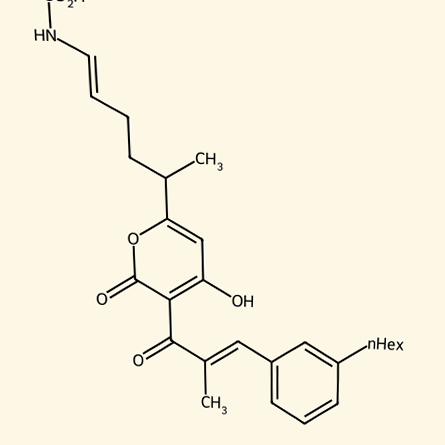 CCCCCCc1cccc(/C=C(\C)C(=O)c2c(O)cc(C(C)CCC=CNC(=O)O)oc2=O)c1